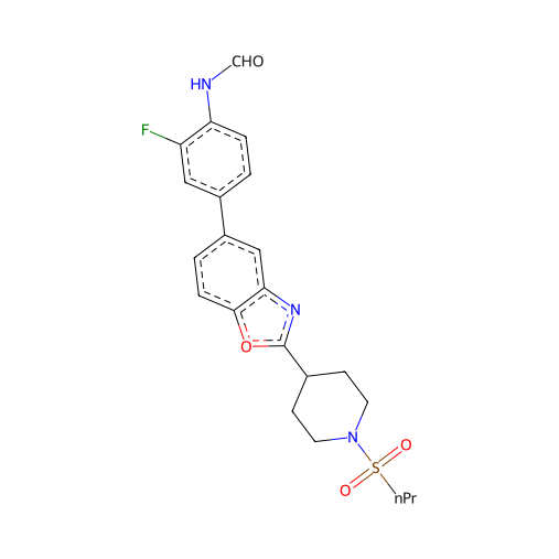 CCCS(=O)(=O)N1CCC(c2nc3cc(-c4ccc(NC=O)c(F)c4)ccc3o2)CC1